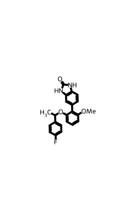 COc1cccc(OC(C)c2ccc(F)cc2)c1-c1ccc2[nH]c(=O)[nH]c2c1